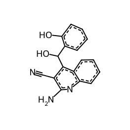 N#Cc1c(N)nc2ccccc2c1C(O)c1ccccc1O